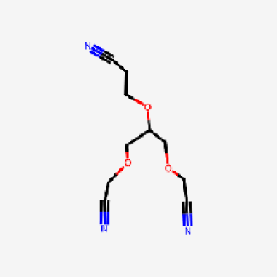 N#CCCOC(COCC#N)COCC#N